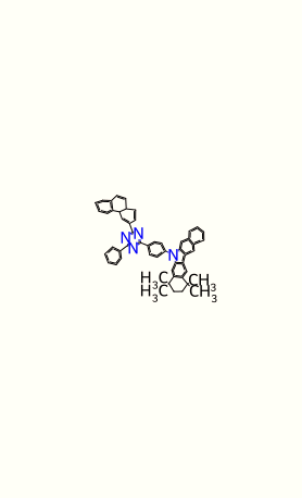 CC1(C)CCC(C)(C)c2cc3c(cc21)c1cc2ccccc2cc1n3-c1ccc(-c2nc(C3=CC4c5ccccc5C=CC4C=C3)nc(-c3ccccc3)n2)cc1